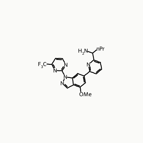 CCCC(N)c1cccc(-c2cc(OC)c3cnn(-c4nccc(C(F)(F)F)n4)c3c2)n1